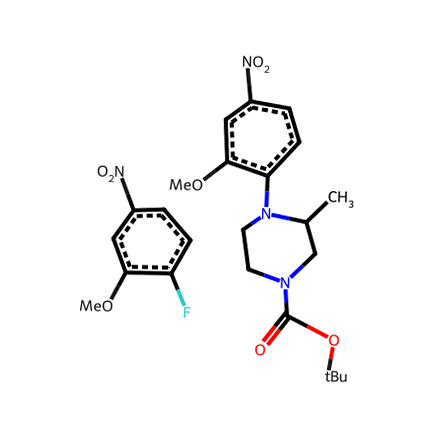 COc1cc([N+](=O)[O-])ccc1F.COc1cc([N+](=O)[O-])ccc1N1CCN(C(=O)OC(C)(C)C)CC1C